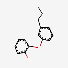 CCCc1cccc(Oc2ccccc2O)c1